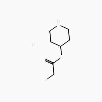 Cl.O=C(CF)NC1CCNCC1